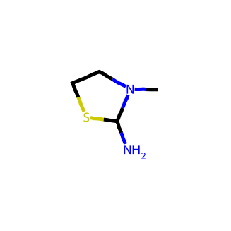 CN1CCSC1N